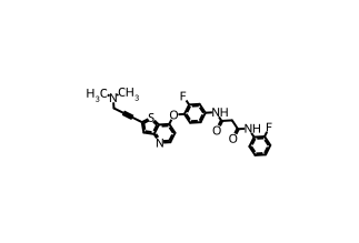 CN(C)CC#Cc1cc2nccc(Oc3ccc(NC(=O)CC(=O)Nc4ccccc4F)cc3F)c2s1